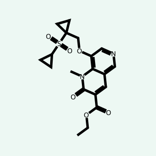 CCOC(=O)c1cc2cncc(OCC3(S(=O)(=O)C4CC4)CC3)c2n(C)c1=O